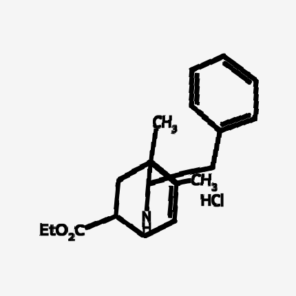 CCOC(=O)C1CC2(C)C(C)=CC1NC2Cc1ccccc1.Cl